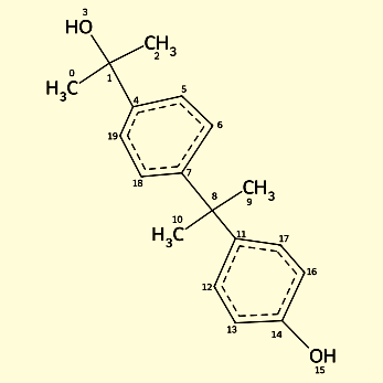 CC(C)(O)c1ccc(C(C)(C)c2ccc(O)cc2)cc1